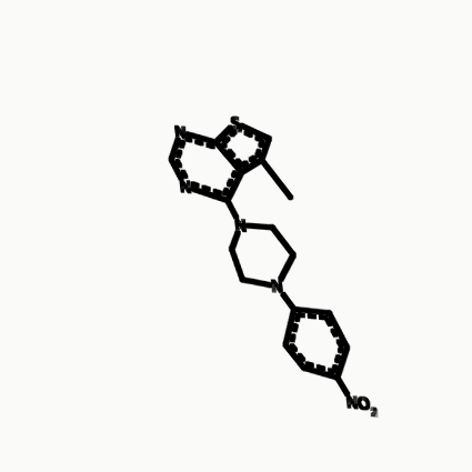 Cc1csc2ncnc(N3CCN(c4ccc([N+](=O)[O-])cc4)CC3)c12